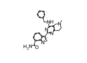 CN1CCc2nc(-c3snc4c(C(N)=O)cccc34)nc(NCc3ccccc3)c2C1